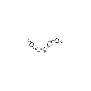 SC(CCN1CCN(Cc2ccc(Cl)cc2)CC1)N1CCN(Cc2ccc(Cl)cc2)CC1